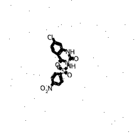 O=c1[nH]c2cc(Cl)ccc2c(=O)n1NS(=O)(=O)c1ccc([N+](=O)[O-])cc1